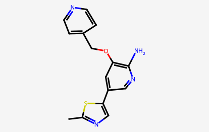 Cc1ncc(-c2cnc(N)c(OCc3ccncc3)c2)s1